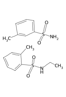 CCNS(=O)(=O)c1ccccc1C.Cc1cccc(S(N)(=O)=O)c1